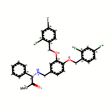 COC(=O)[C@@H](NCc1ccc(OCc2ccc(F)cc2F)c(OCc2ccc(F)cc2F)c1)c1ccccc1